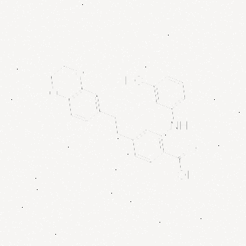 O=C(O)c1ccc(CCc2ccc3c(c2)OCCO3)cc1Nc1cccc(O)c1